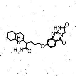 NC(=O)C(CCCOc1ccc2c(=O)n3c(nc2c1)NC(=O)C3)C1CCC2CCCCC2N1